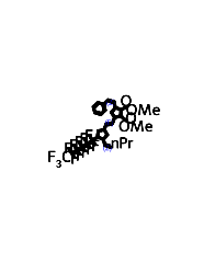 CCC/C=C\C1CC(/C=C/C2CC(/C=C\c3ccccc3)C(C(=O)OC)C2C(=O)OC)CC1C(F)(F)C(F)(F)C(F)(F)C(F)(F)C(F)(F)C(F)(F)F